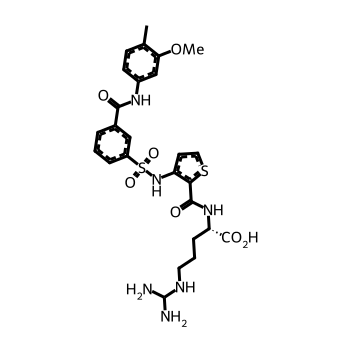 COc1cc(NC(=O)c2cccc(S(=O)(=O)Nc3ccsc3C(=O)N[C@@H](CCCNC(N)N)C(=O)O)c2)ccc1C